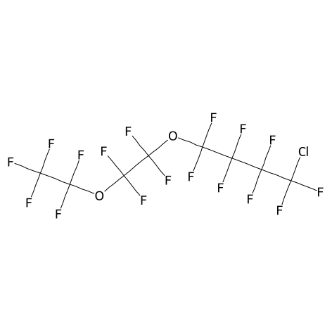 FC(F)(F)C(F)(F)OC(F)(F)C(F)(F)OC(F)(F)C(F)(F)C(F)(F)C(F)(F)Cl